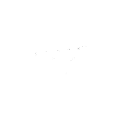 CC/C=C\CCCCOC(CCC(=O)OCC(COC(=O)CCCCCC(=O)OCCC#CCCCCC)COC(=O)OCC1CCCN(CC)C1)OCCCC/C=C\CC